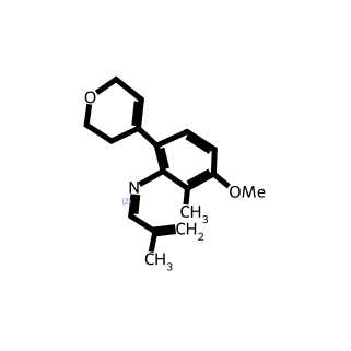 C=C(C)/C=N\c1c(C2=CCOCC2)ccc(OC)c1C